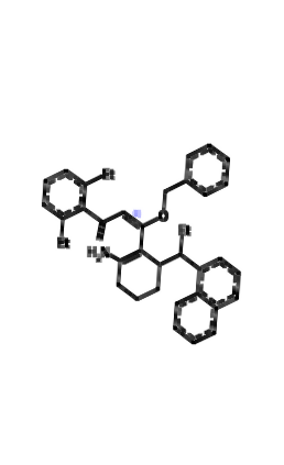 C=C(/C=C(/OCc1ccccc1)C1=C(N)CCCC1C(CC)c1cccc2ccccc12)c1c(CC)cccc1CC